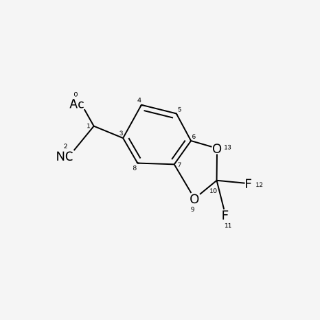 CC(=O)C(C#N)c1ccc2c(c1)OC(F)(F)O2